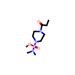 CCC(=O)N1CCN(P(=O)(OC)N(C)C)CC1